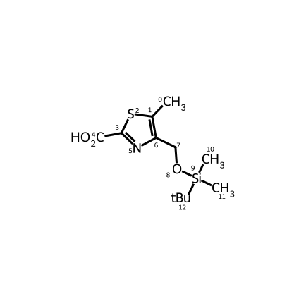 Cc1sc(C(=O)O)nc1CO[Si](C)(C)C(C)(C)C